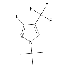 CC(C)(C)n1cc(C(F)(F)F)c(I)n1